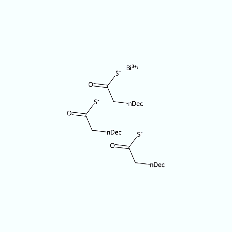 CCCCCCCCCCCC(=O)[S-].CCCCCCCCCCCC(=O)[S-].CCCCCCCCCCCC(=O)[S-].[Bi+3]